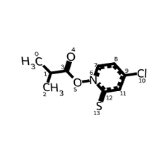 CC(C)C(=O)On1ccc(Cl)cc1=S